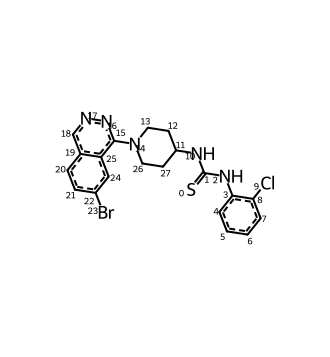 S=C(Nc1ccccc1Cl)NC1CCN(c2nncc3ccc(Br)cc23)CC1